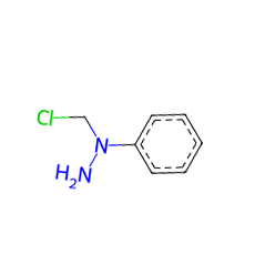 NN(CCl)c1ccccc1